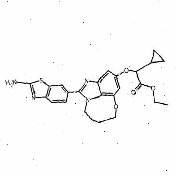 CCOC(=O)C(Oc1cc2c3c(c1)nc(-c1ccc4nc(N)sc4c1)n3CCCCO2)C1CC1